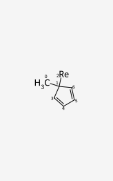 C[C]1([Re])C=CC=C1